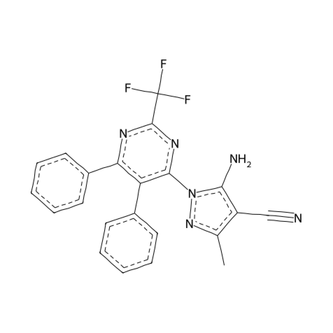 Cc1nn(-c2nc(C(F)(F)F)nc(-c3ccccc3)c2-c2ccccc2)c(N)c1C#N